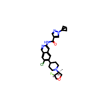 C[C@]1(N2CCC(c3cc4cc(NC(=O)c5cnn(C67CC(C6)C7)c5)ncc4cc3Cl)CC2)COC[C@H]1F